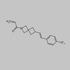 C=CC(=O)N1CC2(CC(C=Cc3ccc(C(F)(F)F)cc3)C2)C1